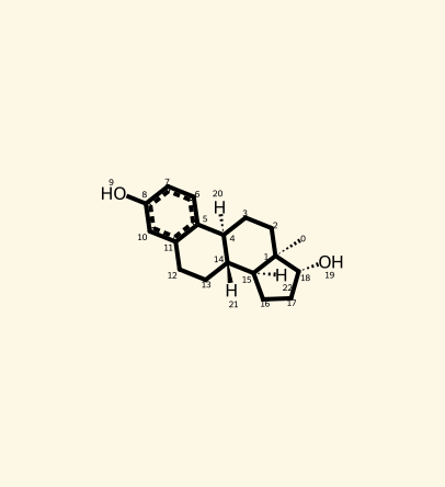 C[C@@]12CC[C@@H]3c4ccc(O)cc4CC[C@H]3[C@@H]1CC[C@H]2O